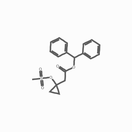 CS(=O)(=O)OC1(CC(=O)OC(c2ccccc2)c2ccccc2)CC1